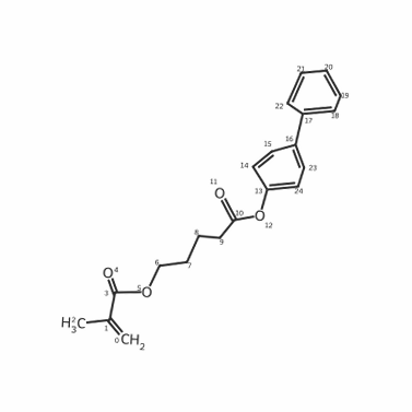 C=C(C)C(=O)OCCCCC(=O)Oc1ccc(-c2ccccc2)cc1